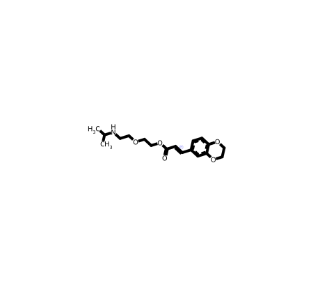 CC(C)NCCOCCOC(=O)/C=C/c1ccc2c(c1)OCCO2